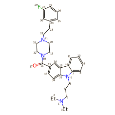 CCN(CC)CCCn1c2ccccc2c2cc(C(=O)N3CCN(CCc4cccc(F)c4)CC3)ccc21